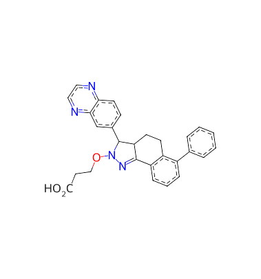 O=C(O)CCON1N=C2c3cccc(-c4ccccc4)c3CCC2C1c1ccc2nccnc2c1